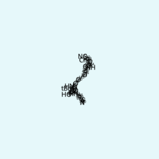 CC(C)(C)C(NC(=O)COCCOCCCCOc1ccc(C(=O)N[C@H]2C(C)(C)[C@H](Oc3ccc(C#N)c(Cl)c3)C2(C)C)cc1)C(=O)N1C[C@H](O)C[C@H]1C(=O)NCc1ccc(-c2cncs2)cc1